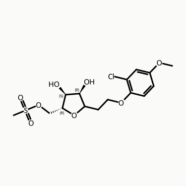 COc1ccc(OCCC2O[C@H](COS(C)(=O)=O)[C@@H](O)[C@H]2O)c(Cl)c1